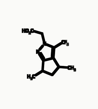 CC1CC(C)c2c1nn(CC(=O)O)c2C(F)(F)F